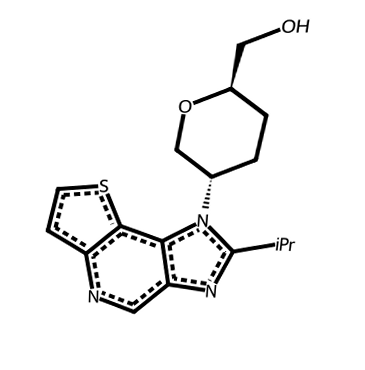 CC(C)c1nc2cnc3ccsc3c2n1[C@H]1CC[C@H](CO)OC1